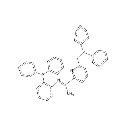 C/C(=N\c1ccccc1P(c1ccccc1)c1ccccc1)c1cccc(CP(c2ccccc2)c2ccccc2)n1